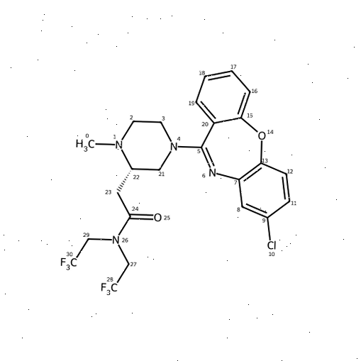 CN1CCN(C2=Nc3cc(Cl)ccc3Oc3ccccc32)C[C@@H]1CC(=O)N(CC(F)(F)F)CC(F)(F)F